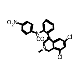 CN1Cc2c(Cl)cc(Cl)cc2C(c2ccccc2N(C(=O)O)c2ccc([N+](=O)[O-])cc2)C1